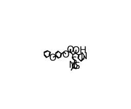 Cc1csc(SCC(C(=O)OCc2ccc(Oc3ccccc3)cc2)C(O)c2cccnc2)n1